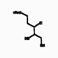 CCCCCCCC(Cl)C(O)CO